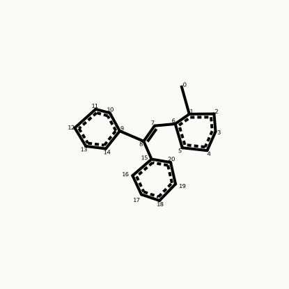 Cc1ccccc1C=C(c1ccccc1)c1ccccc1